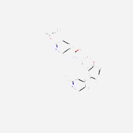 COc1cc(-c2cccc3c2C[C@H](NC(=O)c2ccc(OC(C)C)nc2)CO3)ccn1